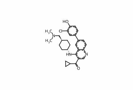 CN(C)C[C@H]1CC[C@H](Nc2c(C(=O)C3CC3)cnc3ccc(-c4ccc(O)c(Cl)c4)cc23)CC1